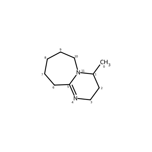 CC1CCN=C2CCCCCN21